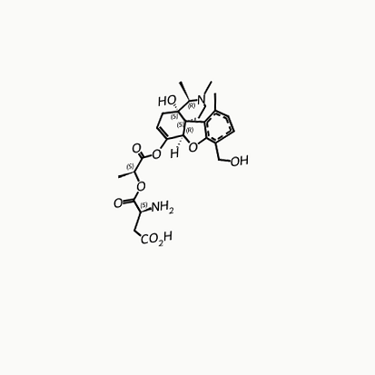 Cc1ccc(CO)c2c1[C@]13CCN(C)[C@H](C)[C@]1(O)CC=C(OC(=O)[C@H](C)OC(=O)[C@@H](N)CC(=O)O)[C@@H]3O2